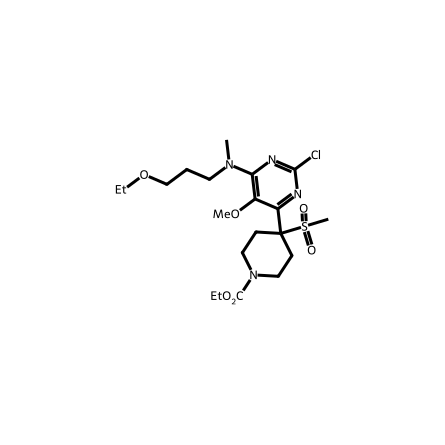 CCOCCCN(C)c1nc(Cl)nc(C2(S(C)(=O)=O)CCN(C(=O)OCC)CC2)c1OC